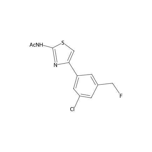 CC(=O)Nc1nc(-c2cc(Cl)cc(CF)c2)cs1